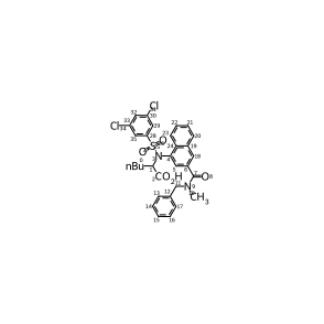 CCCCC(C(=O)O)N(c1cc(C(=O)N(C)Cc2ccccc2)cc2ccccc12)S(=O)(=O)c1cc(Cl)cc(Cl)c1